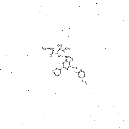 CNNC(=O)[C@H]1O[C@@H](n2cnc3c(NCc4cc(C)ccn4)nc(-c4cncc(F)c4)nc32)[C@H](O)[C@@H]1O